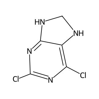 Clc1nc(Cl)c2c(n1)NCN2